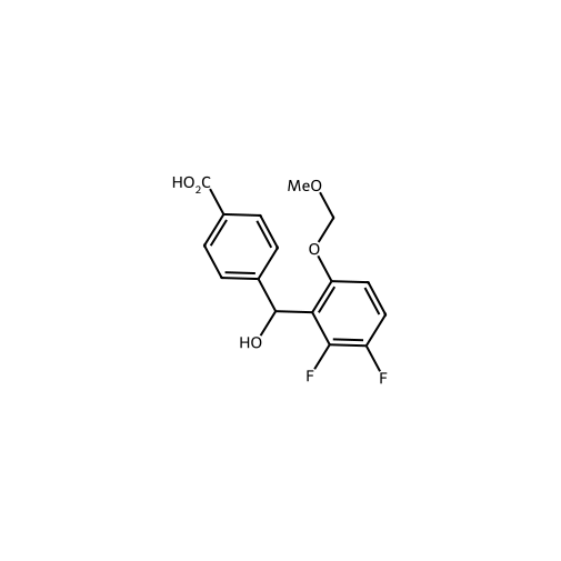 COCOc1ccc(F)c(F)c1C(O)c1ccc(C(=O)O)cc1